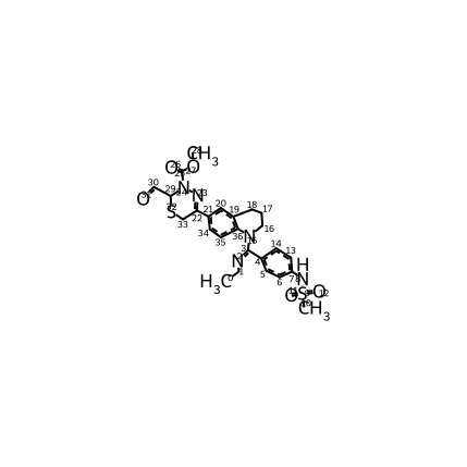 CCN=C(c1ccc(NS(C)(=O)=O)cc1)N1CCCc2cc(C3=NN(C(=O)OC)C(C=O)SC3)ccc21